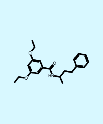 CCOc1cc(OCC)cc(C(=O)NC(C)CCc2ccccc2)c1